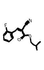 CC(C)COC(=O)C(C#N)=Cc1ccccc1F